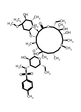 CC[C@@H]1C[C@H](N(C)S(=O)(=O)c2ccc(C)cc2)[C@@H](O)[C@H](O[C@@H]2[C@@H](C)[C@H](O[C@H]3C[C@@](C)(OC)[C@@H](O)[C@H](C)O3)[C@@H](C)C(=O)O[C@H](CC)[C@@](C)(O)[C@H](O)[C@@H](C)N(C)C[C@H](C)C[C@@]2(C)O)O1